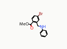 COC(=O)c1ccc(Br)cc1CNc1ccccc1